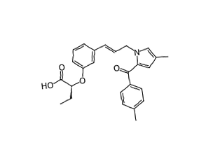 CC[C@H](Oc1cccc(/C=C/Cn2cc(C)cc2C(=O)c2ccc(C)cc2)c1)C(=O)O